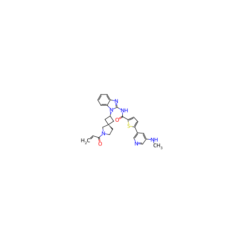 C=CC(=O)N1CC[C@]2(C1)C[C@H](n1c(NC(=O)c3ccc(-c4cncc(NC)c4)s3)nc3ccccc31)C2